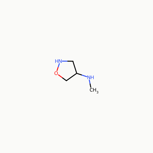 CNC1CNOC1